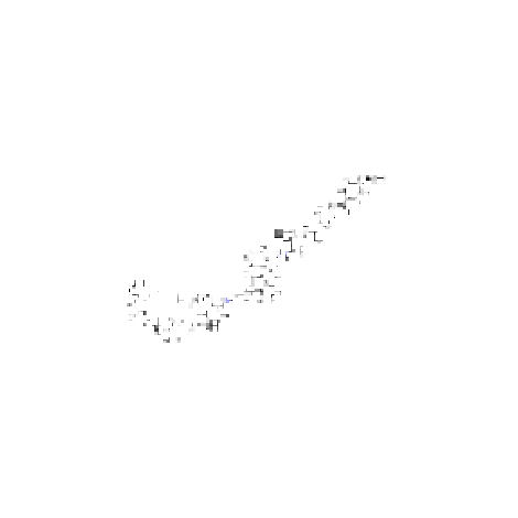 COc1ccc(COOc2ccc(OCNc3ccc(/C=C/COOc4cccc5c4C4(CCc6cccc(C/C=C/c7ccc(NC(=O)c8ccc(OC(=O)c9ccc(OC)cc9)cc8)cc7OC)c64)CC5)c(OC)c3)cc2)cc1